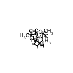 CC(C)(C)C(=O)[C@@H]1[C@H]2CC[C@H]2CN1C(C)(C)C